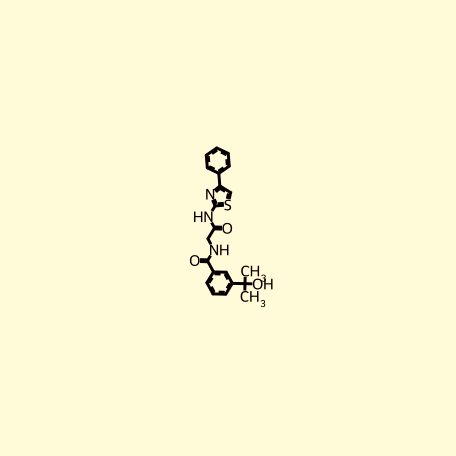 CC(C)(O)c1cccc(C(=O)NCC(=O)Nc2nc(-c3ccccc3)cs2)c1